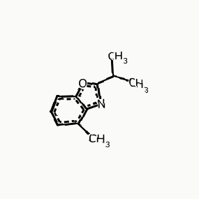 Cc1cccc2oc(C(C)C)nc12